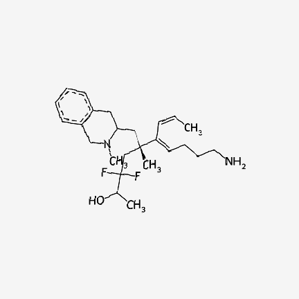 C/C=C\C(=C/CCCN)[C@@](C)(CC1Cc2ccccc2CN1C)CC(F)(F)C(C)O